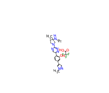 CC(C)NC1(C)CCN(c2ncc(-c3ccc(-c4cnn(C)c4)cc3O)nn2)C1.O=C(O)C(F)(F)F